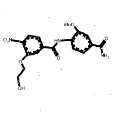 CC(C)COc1cc(C(N)=O)ccc1NC(=O)c1ccc([N+](=O)[O-])c(OCCO)c1